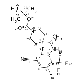 C[C@H](Nc1cc(C#N)cc(F)c1C(F)(F)F)C1(F)CCN(C(=O)OC(C)(C)C)CC1